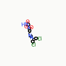 O=C1CCC(N2Cc3cc(CN4CCN(C5c6ccc(Cl)cc6-c6cc(Cl)ccc65)CC4)ccc3C2=O)C(=O)N1